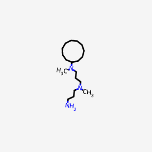 CN(CCCN)CCCN(C)C1CCCCCCCCCC1